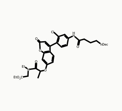 CCCCCCCCCCCCCC(=O)Nc1ccc(-c2cc(=O)oc3cc(OC(C)C(=O)N(CC)CC(=O)OCC)ccc23)c(Cl)c1